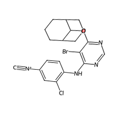 [C-]#[N+]c1ccc(Nc2ncnc(OC3C4CCCC3COC4)c2Br)c(Cl)c1